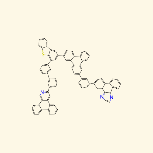 c1cc(-c2ccc3c(c2)c2ccccc2c2ccc(-c4cc(-c5cccc(-c6cccc(-c7cc8c9ccccc9c9ccccc9c8cn7)c6)c5)c5sc6ccccc6c5c4)cc23)cc(-c2ccc3c4ccccc4c4nccnc4c3c2)c1